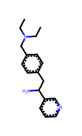 CCN(CC)Cc1ccc(CC(N)c2cccnc2)cc1